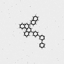 c1ccc(-c2cccc(-c3ccc(-c4cc5c(-c6ccc7ccccc7c6)nc6ccccc6c5c5ccccc45)cc3)n2)nc1